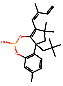 C=C/C(C)=C\C1=C2OP(O)Oc3cc(C)ccc3C2(CC(C)(C)C)CC1(C)C